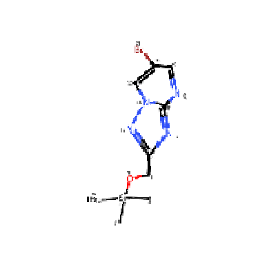 CC(C)(C)[Si](C)(C)OCc1nc2ncc(Br)cn2n1